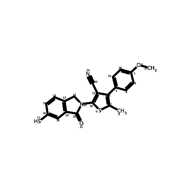 COc1ccc(-c2c(C)sc(N3Cc4ccc(S)cc4C3=O)c2C#N)cc1